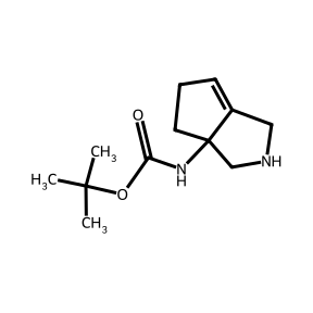 CC(C)(C)OC(=O)NC12CCC=C1CNC2